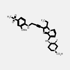 COc1cc(S(C)(=O)=O)ccc1NCC#Cc1nc2c(N[C@@H]3CCN(C(=O)O)C[C@@H]3F)cccn2c1CC(F)(F)F